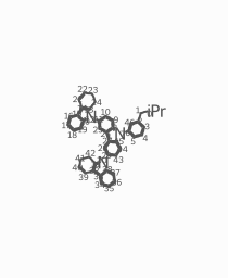 CC(C)Cc1cccc(-n2c3ccc(-n4c5c(c6ccccc64)C=CCC5)cc3c3cc(-n4c5c(c6ccccc64)C=CCC5)ccc32)c1